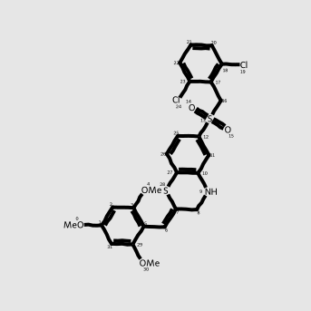 COc1cc(OC)c(C=C2CNc3cc(S(=O)(=O)Cc4c(Cl)cccc4Cl)ccc3S2)c(OC)c1